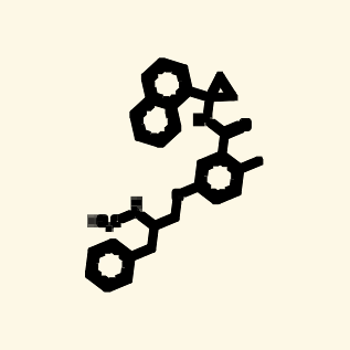 Cc1ccc(OCC(Cc2ccccc2)NC(=O)O)cc1C(=O)NC1(c2cccc3ccccc23)CC1